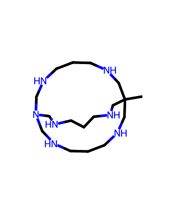 CC12CNCCCNCN(CNCCCNC1)CNCCCNC2